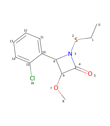 CCSN1C(=O)C(OC)C1c1ccccc1Cl